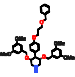 COc1cc(CO[C@H]2CNC[C@@H](OCc3cc(OC)cc(OC)c3)C2c2ccc(OCCCOCc3ccccc3)cc2)cc(OC)c1